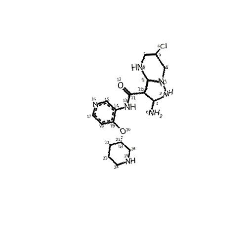 NC1NN2CC(Cl)CNC2C1C(=O)Nc1cnccc1O[C@H]1CCCNC1